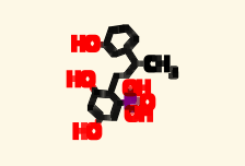 CC(CCc1c(O)cc(O)cc1P(=O)(O)O)c1cccc(O)c1